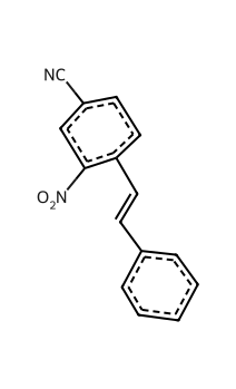 N#Cc1ccc(C=Cc2ccccc2)c([N+](=O)[O-])c1